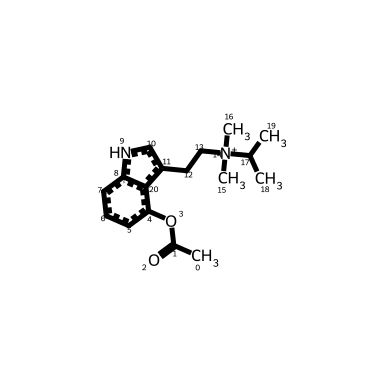 CC(=O)Oc1cccc2[nH]cc(CC[N+](C)(C)C(C)C)c12